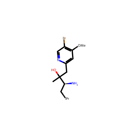 COc1cc(CC(C)(O)[C@@H](N)CC(C)C)ncc1Br